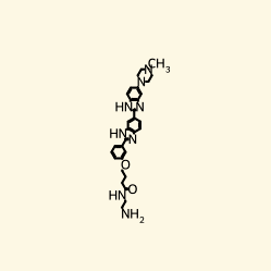 CN1CCN(c2ccc3[nH]c(-c4ccc5nc(-c6cccc(OCCCC(=O)NCCN)c6)[nH]c5c4)nc3c2)CC1